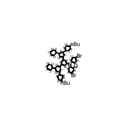 CCCCc1ccc(-c2cc(-c3ccccc3)cc(-c3cc(-c4cc(-c5ccccc5)cc(-c5ccc(CCCC)cc5)c4)cc(N4c5ccc(Br)cc5Oc5cc(Br)ccc54)c3)c2)cc1